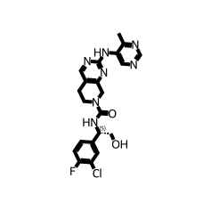 Cc1ncncc1Nc1ncc2c(n1)CN(C(=O)N[C@H](CO)c1ccc(F)c(Cl)c1)CC2